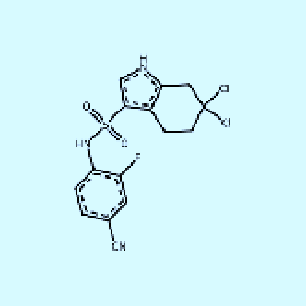 N#Cc1ccc(NS(=O)(=O)c2c[nH]c3c2CCC(Cl)(Cl)C3)c(F)c1